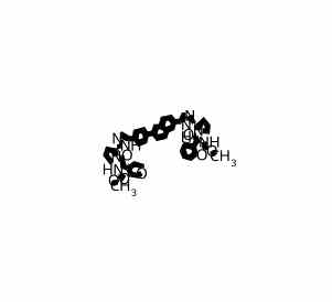 COC(=O)N[C@H](C(=O)N1CCC[C@H]1c1ncc(-c2ccc(-c3ccc4cc(-c5cnc([C@@H]6CCCN6C(=O)[C@H](NC(=O)OC)c6ccccc6)[nH]5)ccc4c3)cc2)[nH]1)C1CCOCC1